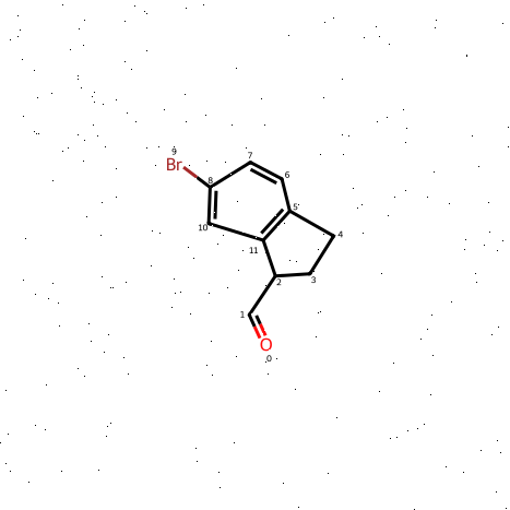 O=CC1CCc2ccc(Br)cc21